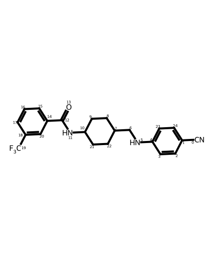 N#Cc1ccc(NCC2CCC(NC(=O)c3cccc(C(F)(F)F)c3)CC2)cc1